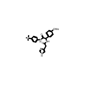 COc1ccc(C(NC(=O)Cc2c[nH]cn2)C(=O)Nc2ccc([Si](C)(C)C)cc2)cc1